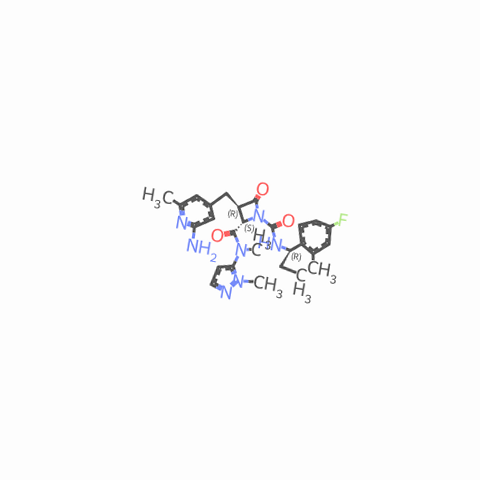 CC[C@@H](NC(=O)N1C(=O)[C@H](Cc2cc(C)nc(N)c2)[C@H]1C(=O)N(C)c1ccnn1C)c1ccc(F)cc1C